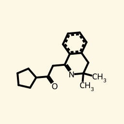 CC1(C)Cc2ccccc2C(CC(=O)C2CCCC2)=N1